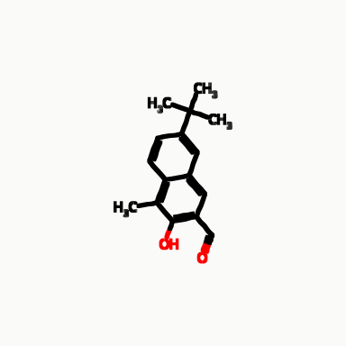 Cc1c(O)c(C=O)cc2cc(C(C)(C)C)ccc12